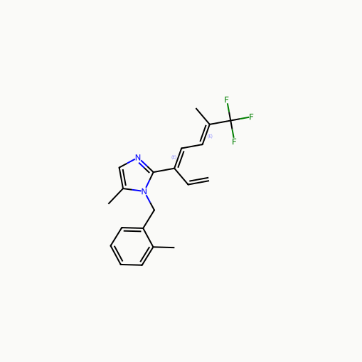 C=C/C(=C\C=C(/C)C(F)(F)F)c1ncc(C)n1Cc1ccccc1C